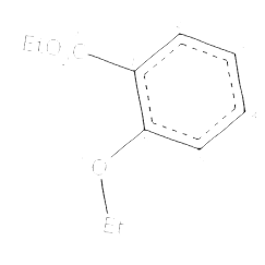 CCOC(=O)c1ccccc1OCC